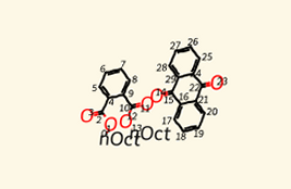 CCCCCCCCOC(=O)c1ccccc1C(=O)OCCCCCCCC.O=C1c2ccccc2C(=O)c2ccccc21